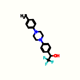 Bc1ccc(N2CCN(c3ccc(C(O)C(F)(F)F)cc3)CC2)cc1